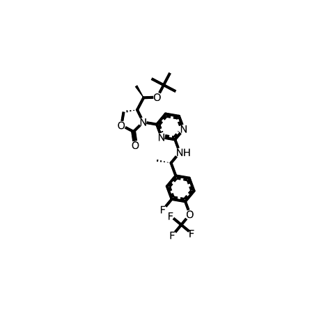 C[C@H](Nc1nccc(N2C(=O)OC[C@@H]2[C@@H](C)OC(C)(C)C)n1)c1ccc(OC(F)(F)F)c(F)c1